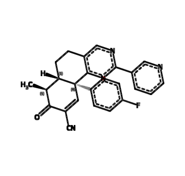 C[C@@H]1C(=O)C(C#N)=C[C@]2(c3ccc(F)cc3)c3nc(-c4cccnc4)ncc3CC[C@@H]12